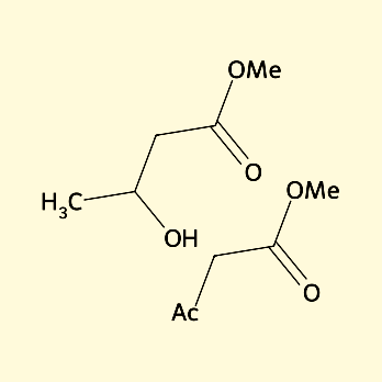 COC(=O)CC(C)=O.COC(=O)CC(C)O